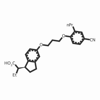 CCCc1cc(C#N)ccc1OCCCOc1ccc2c(c1)CC[C@H]2C(CC)C(=O)O